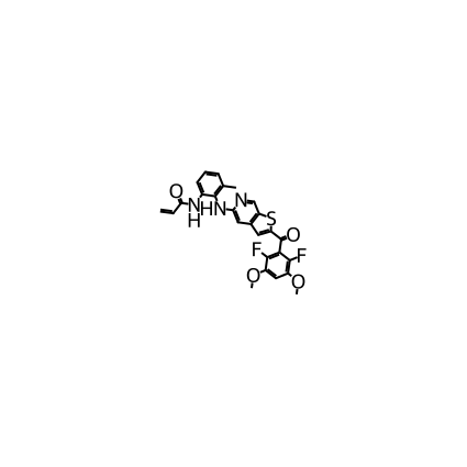 C=CC(=O)Nc1cccc(C)c1Nc1cc2cc(C(=O)c3c(F)c(OC)cc(OC)c3F)sc2cn1